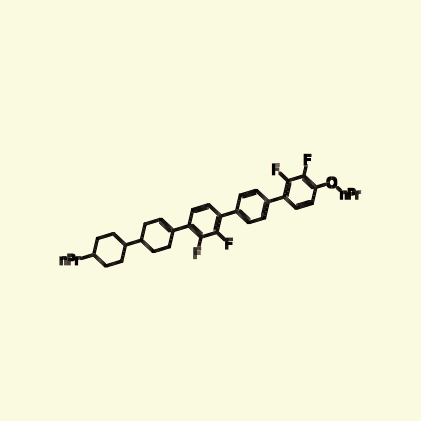 CCCOc1ccc(-c2ccc(-c3ccc(C4=CCC(C5CCC(CCC)CC5)CC4)c(F)c3F)cc2)c(F)c1F